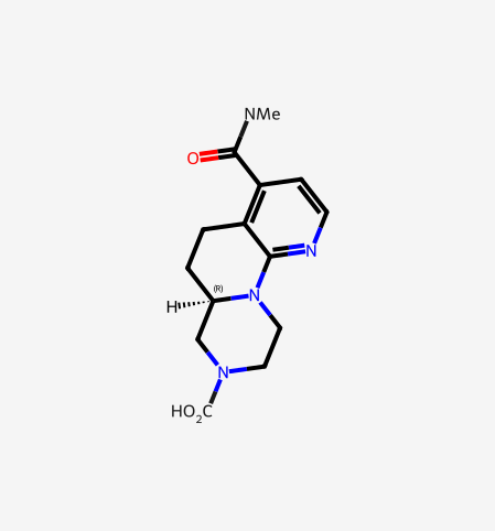 CNC(=O)c1ccnc2c1CC[C@@H]1CN(C(=O)O)CCN21